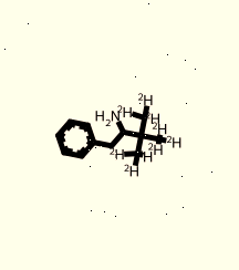 [2H]C([2H])([2H])C(C(N)Cc1ccccc1)(C([2H])([2H])[2H])C([2H])([2H])[2H]